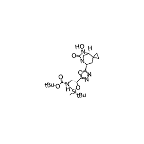 CC(C)(C)OC(=O)NC[C@@H](O[Si](C)(C)C(C)(C)C)c1nnc([C@@H]2CC3(CC3)[C@H]3CN2C(=O)N3O)o1